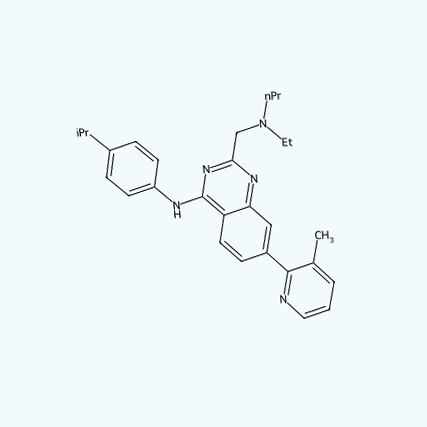 CCCN(CC)Cc1nc(Nc2ccc(C(C)C)cc2)c2ccc(-c3ncccc3C)cc2n1